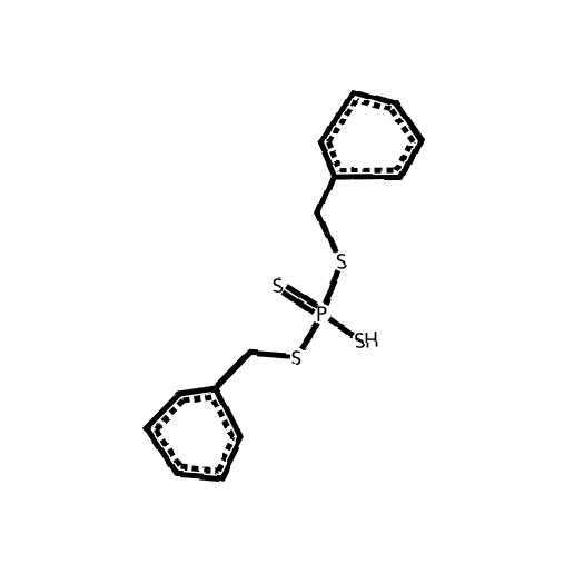 S=P(S)(SCc1ccccc1)SCc1ccccc1